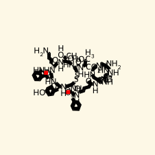 CC(O)[C@H](NC(=O)[C@@H]1CSSC[C@H](NC(=O)[C@@H](Cc2ccccc2)NC(=O)CCCC(=O)N[C@]23CNCCNC[C@](N)(CNCCNC2)NCCNC3)C(=O)N[C@@H](Cc2ccc(O)cc2)C(=O)N[C@H](Cc2c[nH]c3ccccc23)C(=O)N[C@@H](CCCCN)C(=O)N[C@@H](C(C)O)C(=O)N1)C(=O)O